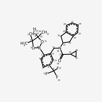 CC1(C)OB(c2ccc(C(F)(F)F)cc2CN(C(=O)C2CC2)C2Cc3ccccc3C2)OC1(C)C